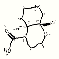 O=C(O)N1CCO[C@H]2CNCC[C@@H]21